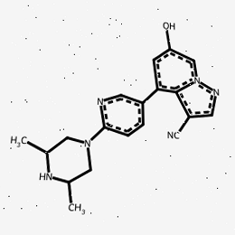 CC1CN(c2ccc(-c3cc(O)cn4ncc(C#N)c34)cn2)CC(C)N1